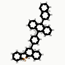 c1ccc2cc(-c3c4ccccc4c(-c4ccc(-c5cc6c7ccccc7sc6c6ccccc56)cc4)c4ccccc34)ccc2c1